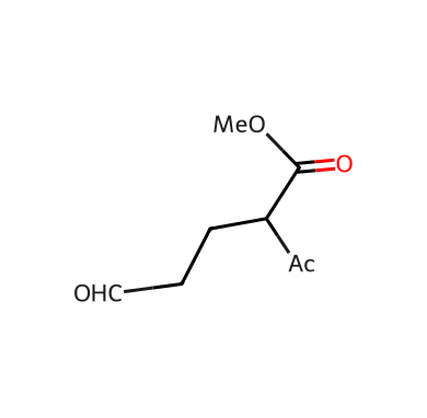 COC(=O)C(CCC=O)C(C)=O